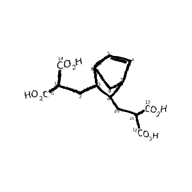 O=C(O)C(CC1C2C=CC(C2)C1CC(C(=O)O)C(=O)O)C(=O)O